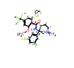 COc1cc(C(F)(F)F)cc(SC)c1C(=O)NC1(c2cc(F)cc(F)c2)CCCN(C)C1